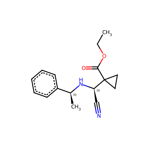 CCOC(=O)C1([C@@H](C#N)N[C@@H](C)c2ccccc2)CC1